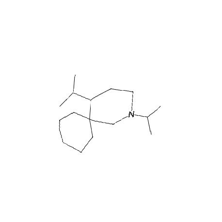 CC(C)C1CCN(C(C)C)CC12CCCCC2